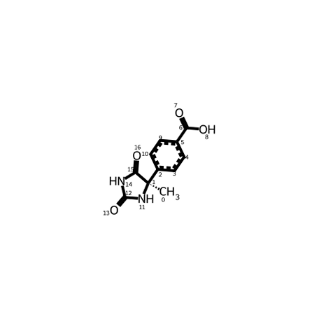 C[C@]1(c2ccc(C(=O)O)cc2)NC(=O)NC1=O